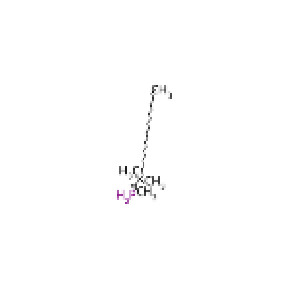 CCCCCCCCCCCCCCCCCCCC(CC)(CC)C1CC1(C)P